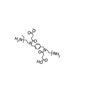 CCC(C)(N)CCN(Cc1ccc(CN(CCC(C)(C)N)C(=O)CCC(=O)O)cc1)C(=O)CCC(=O)OC